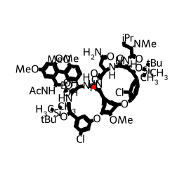 CN[C@@H](CC(C)C)C(=O)N[C@H]1C(=O)NC(CC(N)=O)C(=O)N[C@H]2C(=O)N[C@H](c3ccc(OC)c(-c4c(OC)cc(OC)cc4C(NC(C)=O)B(O)O)c3)C(=O)NCC(O[Si](C)(C)C(C)(C)C)c3cc(Cl)cc(c3)Oc3cc2cc(c3OC)Oc2ccc(cc2Cl)C1O[Si](C)(C)C(C)(C)C